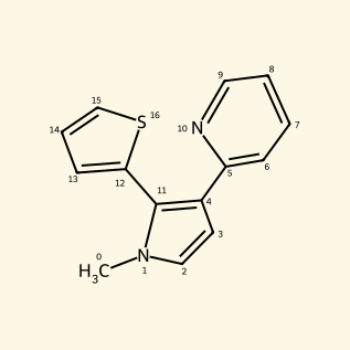 Cn1ccc(-c2ccccn2)c1-c1cccs1